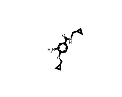 Nc1cc(C(=O)NCC2CC2)ccc1OCC1CC1